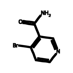 NC(=O)c1cnccc1Br